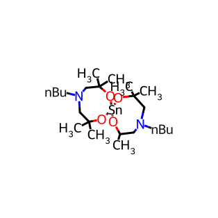 CCCCN1CC(C)[O][Sn]2([O]C(C)(C)C1)[O]C(C)(C)CN(CCCC)CC(C)(C)[O]2